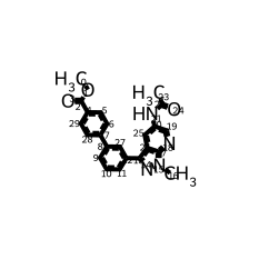 COC(=O)c1ccc(-c2cccc(-c3nn(C)c4ncc(NC(C)=O)cc34)c2)cc1